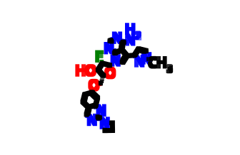 Cn1ccc(-c2cn([C@@H]3O[C@H](COc4ccc5cnc(N6CCC6)nc5c4)[C@@H](O)[C@@H]3F)c3ncnc(N)c23)n1